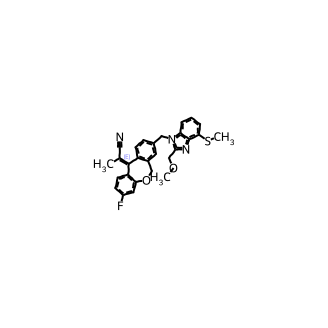 COCc1nc2c(SC)cccc2n1Cc1ccc2c(c1)COc1cc(F)ccc1/C2=C(\C)C#N